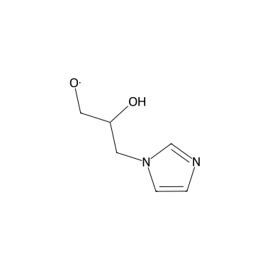 [O]CC(O)Cn1ccnc1